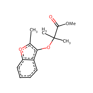 COC(=O)C(C)(C)Oc1c(C)oc2ccccc12